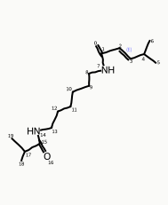 C=C(/C=C/C(C)C)NCCCCCCNC(=O)C(C)C